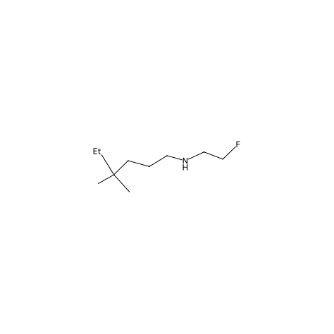 CCC(C)(C)CCCNCCF